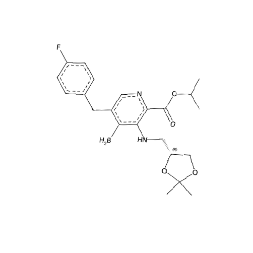 Bc1c(Cc2ccc(F)cc2)cnc(C(=O)OC(C)C)c1NC[C@@H]1COC(C)(C)O1